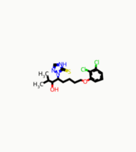 CC(C)C(O)C(CCCCOc1cccc(Cl)c1Cl)n1nc[nH]c1=S